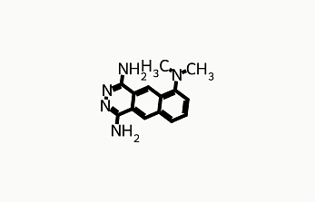 CN(C)c1cccc2cc3c(N)nnc(N)c3cc12